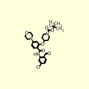 CC(C)(C)OC(=O)N1CCC(Oc2cc(N3CCOCC3)ccc2C(=O)Nc2cc(Cl)ccc2C=O)CC1